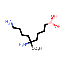 NCCCCC(N)(CCCCB(O)O)C(=O)O